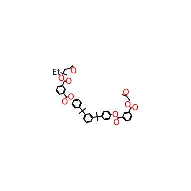 CCC(C)(CC1CO1)OC(=O)c1cccc(C(=O)Oc2ccc(C(C)(C)c3cccc(C(C)(C)c4ccc(OC(=O)c5cccc(C(=O)OCC6CO6)c5)cc4)c3)cc2)c1